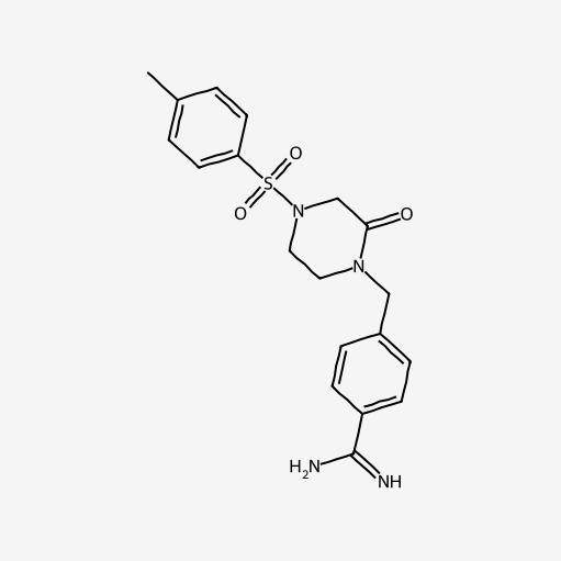 Cc1ccc(S(=O)(=O)N2CCN(Cc3ccc(C(=N)N)cc3)C(=O)C2)cc1